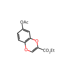 CCOC(=O)C1=COc2ccc(OC(C)=O)cc2O1